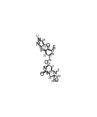 CN1c2cc(OCc3cc(F)c(Oc4cnn(C)c4)c(F)c3)nc(=O)n2CC12COC2